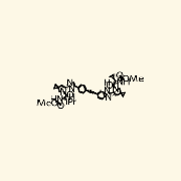 COC(=O)N[C@H](C(=O)N1CC2(CC2)C[C@H]1c1ncc(-c2ccc(C#Cc3ccc4nc([C@@H]5CC6(CC6)CN5C(=O)[C@@H](NC(=O)OC)C5CC5)[nH]c4c3)cc2)[nH]1)C(C)C